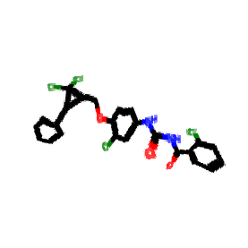 O=C(NC(=O)c1ccccc1Cl)Nc1ccc(OCC2C(c3ccccc3)C2(Cl)Cl)c(Cl)c1